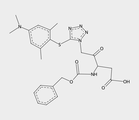 Cc1cc(N(C)C)cc(C)c1Sc1nnnn1CC(=O)C(CC(=O)O)NC(=O)OCc1ccccc1